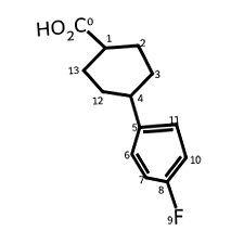 O=C(O)C1CCC(c2ccc(F)cc2)CC1